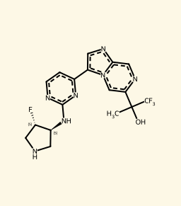 CC(O)(c1cn2c(-c3ccnc(N[C@H]4CNC[C@@H]4F)n3)cnc2cn1)C(F)(F)F